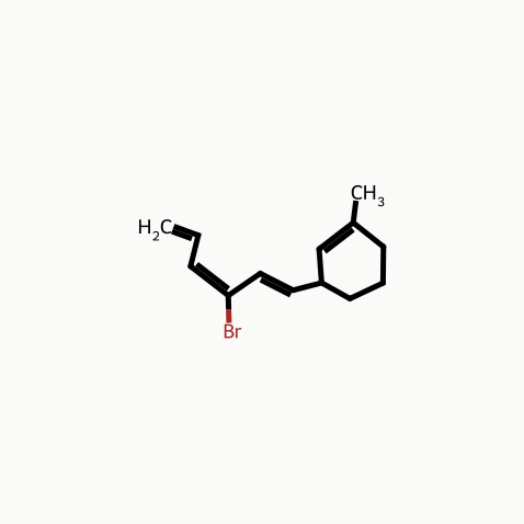 C=C/C=C(/Br)C=CC1C=C(C)CCC1